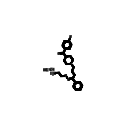 Cl.Cl.NCCON=C(CCCN1CCC(C(=O)c2ccc(F)cc2)CC1)c1ccccc1